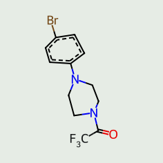 O=C(N1CCN(c2ccc(Br)cc2)CC1)C(F)(F)F